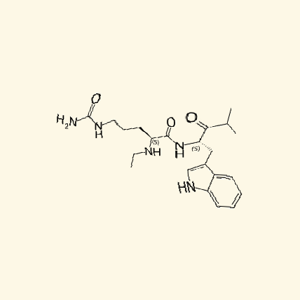 CCN[C@@H](CCCNC(N)=O)C(=O)N[C@@H](Cc1c[nH]c2ccccc12)C(=O)C(C)C